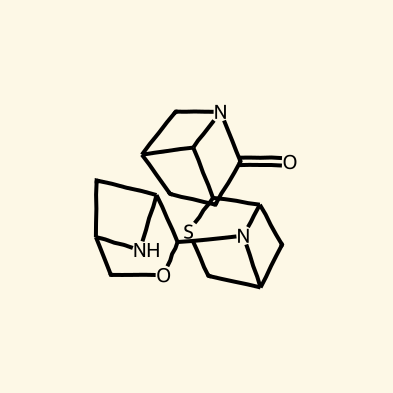 O=C1CCC2CN1C2C1SCC2CC1N2C1OCC2CC1N2